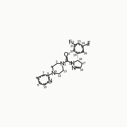 O=C(N1CCN(c2ccccn2)CC1)N1N=CC[C@H]1c1cc(F)cc(F)c1